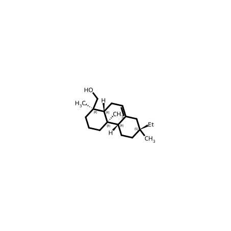 CC[C@@]1(C)CC[C@H]2C(=CC[C@H]3[C@](C)(CO)CCC[C@]23C)C1